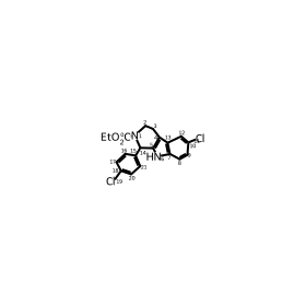 CCOC(=O)N1CCc2c([nH]c3ccc(Cl)cc23)C1c1ccc(Cl)cc1